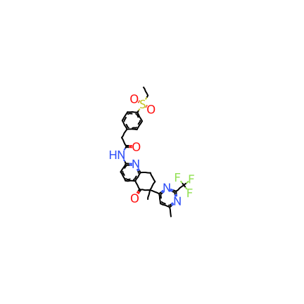 CCS(=O)(=O)c1ccc(CC(=O)Nc2ccc3c(n2)CCC(C)(c2cc(C)nc(C(F)(F)F)n2)C3=O)cc1